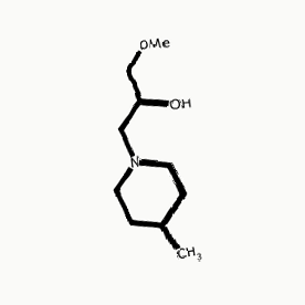 COCC(O)CN1CCC(C)CC1